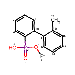 CCOP(=O)(O)c1ccccc1-c1ccccc1C